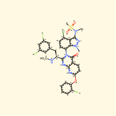 CC(=O)N(c1nn(C)c2c(-n3c([C@H](Cc4cc(F)cc(F)c4)NC(=O)O)nc4nc(Oc5ccccc5F)ccc4c3=O)ccc(Cl)c12)S(C)(=O)=O